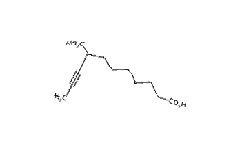 CC#CC(CCCCCCC(=O)O)C(=O)O